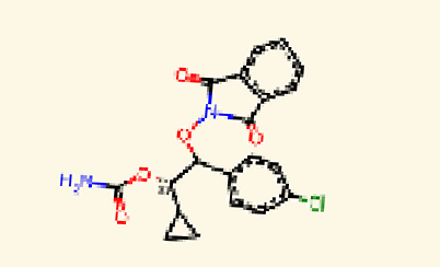 NC(=O)O[C@@H](C1CC1)C(ON1C(=O)c2ccccc2C1=O)c1ccc(Cl)cc1